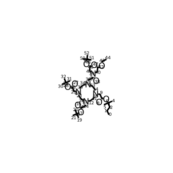 CCCC(C)(C)OC(=O)CN1CCN(CC(=O)OC(C)(C)C)CCN(CC(=O)OC(C)(C)C)CCN(CC(=O)N(CCOCC)CC(=O)OC(C)(C)C)CC1